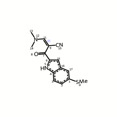 CSc1ccc2[nH]c(C(=O)/C(C#N)=C\N(C)C)cc2c1